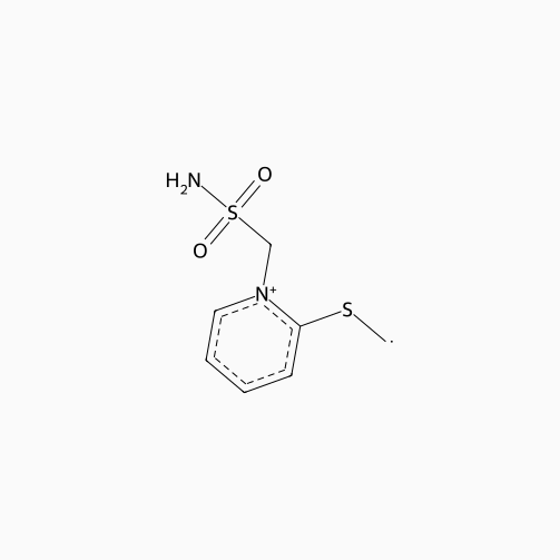 [CH2]Sc1cccc[n+]1CS(N)(=O)=O